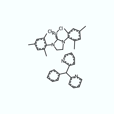 Cc1cc(C)c(N2CCN(c3c(C)cc(C)cc3C)[C]2=[Ru]([Cl])[Cl])c(C)c1.c1ccc(C(c2ccccn2)c2ccccn2)cc1